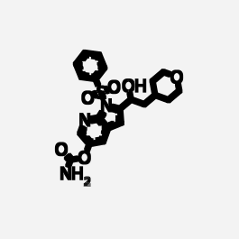 NC(=O)Oc1cnc2c(c1)cc(C(O)CC1CCOCC1)n2S(=O)(=O)c1ccccc1